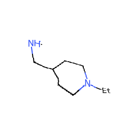 CCN1CCC(C[NH])CC1